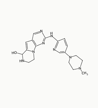 CN1CCN(c2ccc(Nc3ncc4cc5n(c4n3)CCNC5O)nc2)CC1